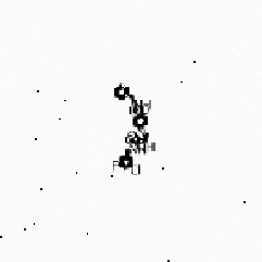 O=C(NCc1cc(F)cc(Cl)c1)[C@@]1(O)CCN(c2ccc(S(=O)(=O)NCCc3ccccc3)cc2)C1=O